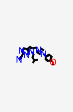 COc1ccc(N2CCN(Cc3cc4cnc(C#N)nc4n3CCC(C)C)CC2)cc1